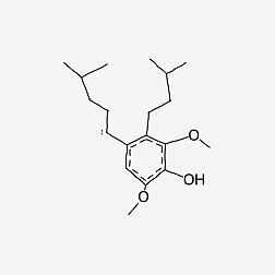 COc1cc([C]CCC(C)C)c(CCC(C)C)c(OC)c1O